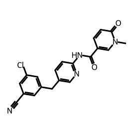 Cn1cc(C(=O)Nc2ccc(Cc3cc(Cl)cc(C#N)c3)cn2)ccc1=O